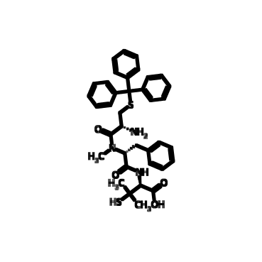 CN(C(=O)[C@@H](N)CSC(c1ccccc1)(c1ccccc1)c1ccccc1)[C@H](Cc1ccccc1)C(=O)N[C@@H](C(=O)O)C(C)(C)S